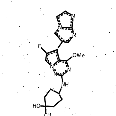 COc1nc(NC2CCC(C)(O)CC2)nn2cc(F)c(-c3cnc4nccn4c3)c12